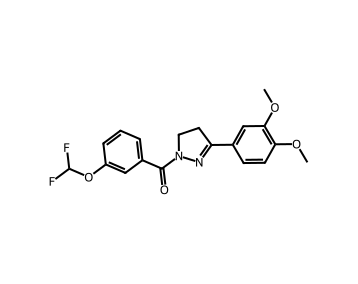 COc1ccc(C2=NN(C(=O)c3cccc(OC(F)F)c3)CC2)cc1OC